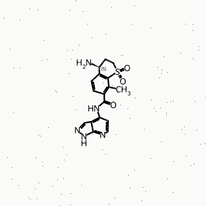 Cc1c(C(=O)Nc2ccnc3[nH]ncc23)ccc2c1S(=O)(=O)CC[C@@H]2N